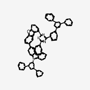 c1ccc(-c2cc(-c3ccccc3)cc(-c3cccc(-c4nc(-c5ccccc5)nc(-c5cccc6oc7ccc(-c8ccc9c(c8)c8ccccc8n9-c8cc(-c9ccccc9)cc(-c9ccccc9)c8)cc7c56)n4)c3)c2)cc1